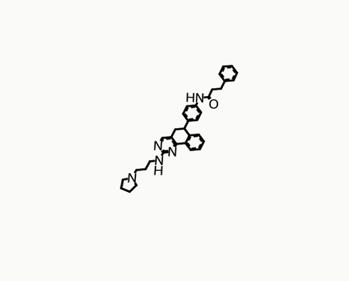 O=C(CCc1ccccc1)Nc1ccc(C2Cc3cnc(NCCCN4CCCC4)nc3-c3ccccc32)cc1